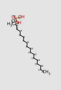 C.CCCCCCCCCCCCCCCCCC.O=[PH](O)O